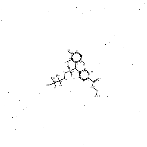 O=C(NCO)c1ccc(C(c2c(F)ccc(F)c2F)S(=O)(=O)CCC(F)(F)C(F)(F)F)cn1